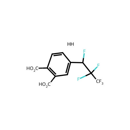 O=C(O)c1ccc(C(F)C(F)(F)C(F)(F)F)cc1C(=O)O.[HH]